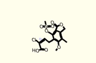 COc1c(C)c2c(c(OS(C)(=O)=O)c1C/C=C(/Cl)C(=O)O)C(=O)OC2